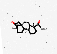 COC(=O)[C@]1(C)CCC[C@@]2(C)C3CC[C@@]4(C)C[C@]3(CCC21)CC4=O